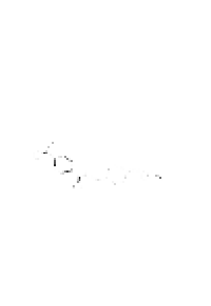 C=COCC1CCC(COC(=O)c2ccc(C(=O)O)cc2)CC1